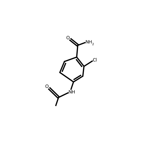 CC(=O)Nc1ccc(C(N)=O)c(Cl)c1